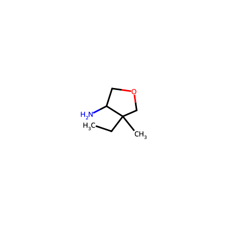 CCC1(C)COCC1N